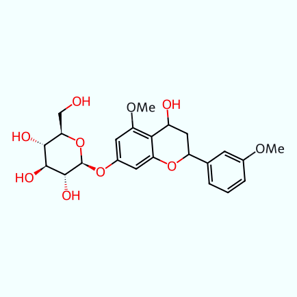 COc1cccc(C2CC(O)c3c(OC)cc(O[C@@H]4O[C@H](CO)[C@@H](O)[C@H](O)[C@H]4O)cc3O2)c1